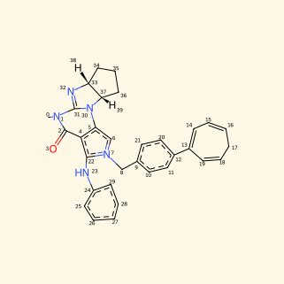 CN1C(=O)c2c(cn(Cc3ccc(C4=CC=CCC=C4)cc3)c2Nc2ccccc2)N2C1=N[C@@H]1CCC[C@@H]12